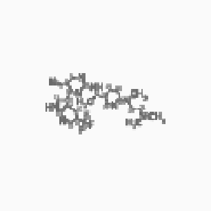 C[C@@H](Nc1ncc(C#N)c(-c2c[nH]c3ncc(C(F)(F)F)cc23)n1)c1ccc(N(C)CCN(C)C)nc1